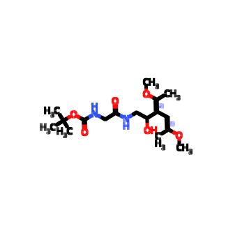 CO/C(C)=C(/C=C(\C)OC)C(O)CNC(=O)CNC(=O)OC(C)(C)C